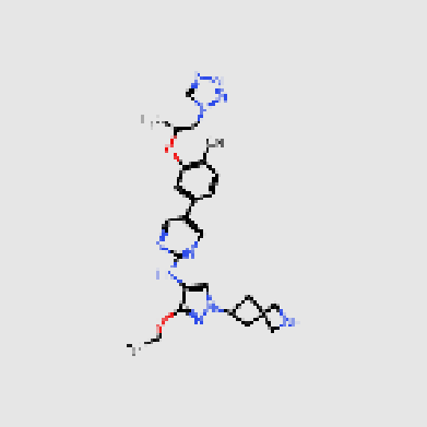 C[C@@H](Cn1cnnn1)Oc1cc(-c2cnc(Nc3cn(C4CC5(CNC5)C4)nc3OCC(F)(F)F)nc2)ccc1C#N